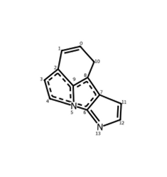 C1=Cc2ccn3c4c(c(c23)C1)C=CN=4